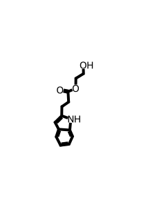 O=C(CCc1cc2ccccc2[nH]1)OCCO